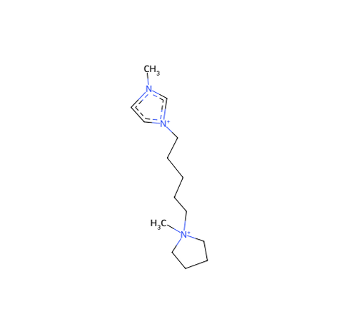 Cn1cc[n+](CCCCC[N+]2(C)CCCC2)c1